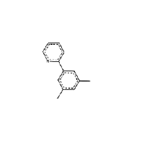 Cc1cc(C)cc(-c2[c]cccn2)c1